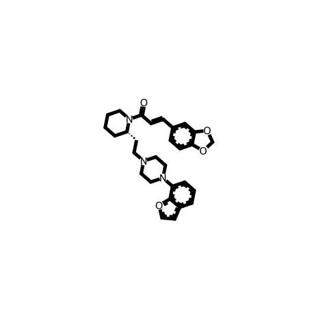 O=C(/C=C/c1ccc2c(c1)OCO2)N1CCCC[C@H]1CCN1CCN(c2cccc3ccoc23)CC1